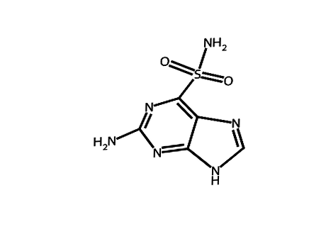 Nc1nc(S(N)(=O)=O)c2nc[nH]c2n1